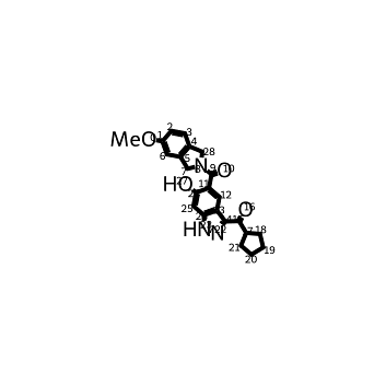 COc1ccc2c(c1)CN(C(=O)c1cc3c(C(=O)C4CCCC4)n[nH]c3cc1O)C2